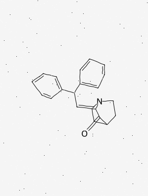 O=C1C(=CC(c2ccccc2)c2ccccc2)N2CCC1CC2